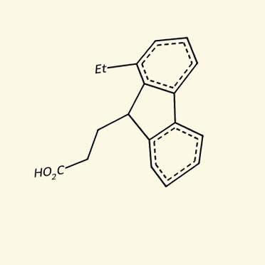 CCc1cccc2c1C(CCC(=O)O)c1ccccc1-2